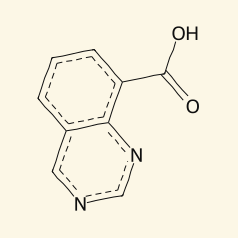 O=C(O)c1cccc2cncnc12